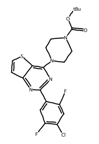 CC(C)(C)OC(=O)N1CCN(c2nc(-c3cc(F)c(Cl)cc3F)nc3ccsc23)CC1